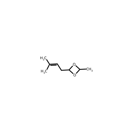 CC(C)=CCC1OC(C)O1